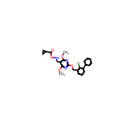 COc1nc(OCc2cccc(-c3ccccc3)c2Cl)nc(OC)c1CNOC(=O)C1CC1